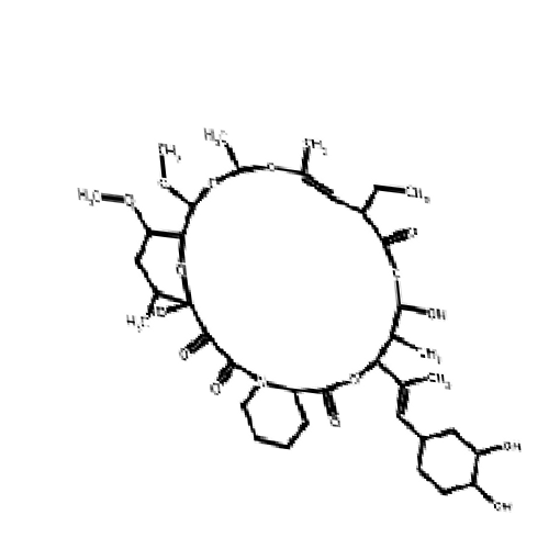 CCC1/C=C(\C)CC(C)CC(OC)C2OC(O)(C(=O)C(=O)N3CCCCC3C(=O)OC(/C(C)=C/C3CCC(O)C(O)C3)C(C)C(O)CC1=O)C(C)CC2OC